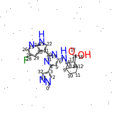 Cn1cc(-c2cc(NC3C4CCC(CC4)C3C(=O)O)nc(-c3c[nH]c4ncc(F)cc34)n2)cn1